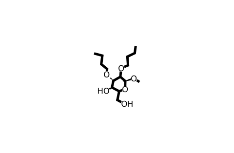 CCCCOC1[C@@H](OC)OC(CO)[C@@H](O)[C@@H]1OCCCC